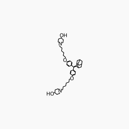 OC1CCN(CCCCCCOc2ccc(C(=C3C4CC5CC(C4)CC3C5)c3ccc(OCCCCCCN4CCC(O)CC4)cc3)cc2)CC1